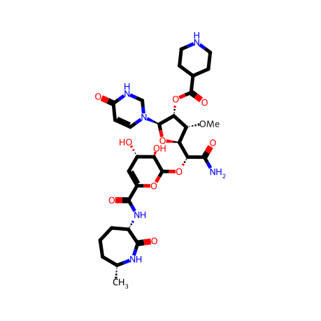 CO[C@H]1[C@@H](OC(=O)C2CCNCC2)[C@H](N2C=CC(=O)NC2)O[C@@H]1[C@@H](OC1OC(C(=O)N[C@H]2CCC[C@@H](C)NC2=O)=C[C@H](O)[C@@H]1O)C(N)=O